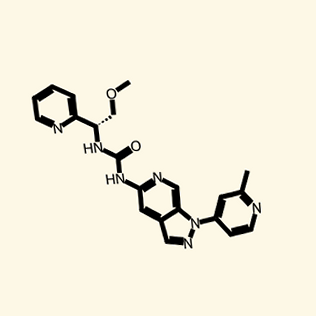 COC[C@H](NC(=O)Nc1cc2cnn(-c3ccnc(C)c3)c2cn1)c1ccccn1